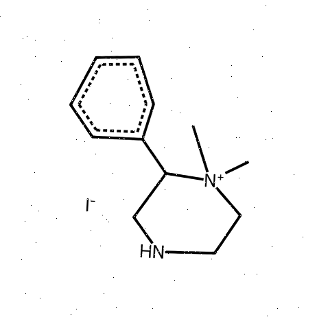 C[N+]1(C)CCNCC1c1ccccc1.[I-]